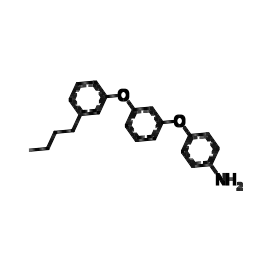 CCCCc1cccc(Oc2cccc(Oc3ccc(N)cc3)c2)c1